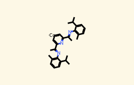 CC(=Nc1c(C)cccc1C(C)C)c1cccc(C(C)=Nc2c(C)cccc2C(C)C)n1.[Co]